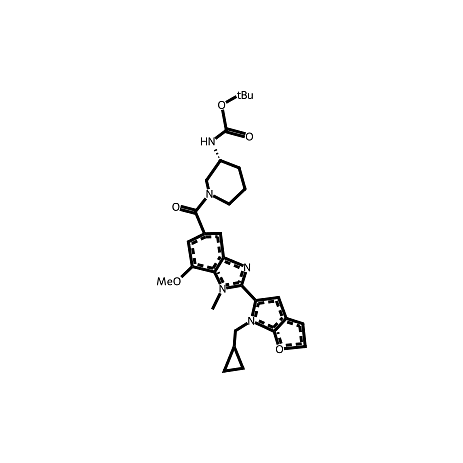 COc1cc(C(=O)N2CCC[C@@H](NC(=O)OC(C)(C)C)C2)cc2nc(-c3cc4ccoc4n3CC3CC3)n(C)c12